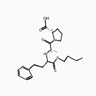 CCCCOC(=O)C(CCc1ccccc1)N[C@@H](C)C(=O)N1CCC[C@H]1C(=O)O